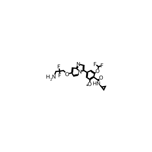 COc1cc(-c2cnc3cc(OCC(F)(F)CN)ccn23)cc(OC(F)F)c1C(=O)NC1CC1